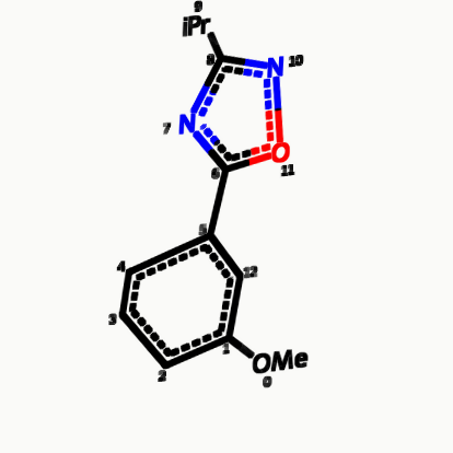 COc1cccc(-c2nc(C(C)C)no2)c1